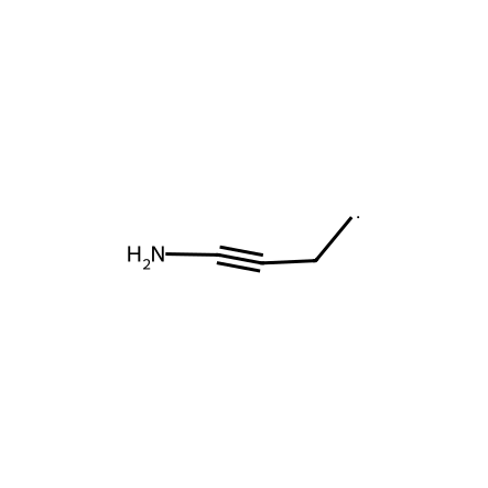 [CH2]CC#CN